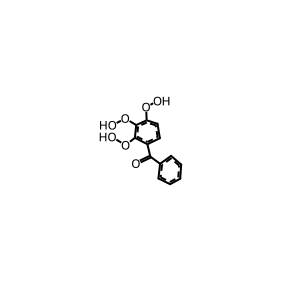 O=C(c1ccccc1)c1ccc(OO)c(OO)c1OO